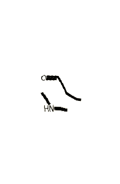 CCC=O.CNC